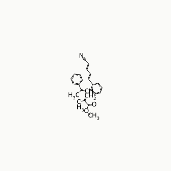 C=C(C)C(=O)OC.C=C(C)c1ccccc1.N#CC=CC=Cc1ccccc1